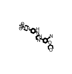 CS(=O)(=O)N1CCN(c2ccc(Nc3ccnc(-c4ccc(OC5CCOCC5)c(C#N)c4)n3)cc2)CC1